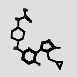 Cn1ncc(-c2nc(NC3CCC(NC(=O)O)CC3)ncc2F)c1CC1CC1